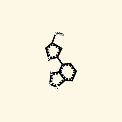 CCCCCCc1csc(-c2cccc3nsnc23)c1